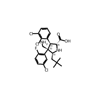 CC(C)(C)C[C@@H]1N[C@@H](C(=O)O)[C@H](c2cccc(Cl)c2Cl)[C@@]1(CN)c1cc(Cl)ccc1F